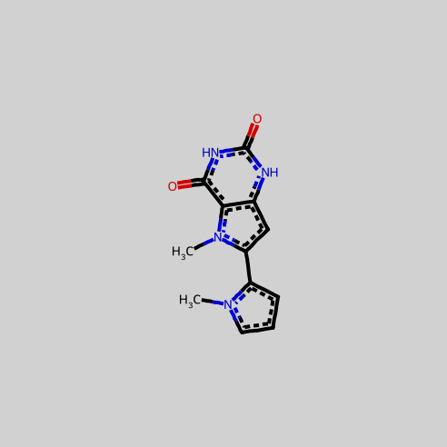 Cn1cccc1-c1cc2[nH]c(=O)[nH]c(=O)c2n1C